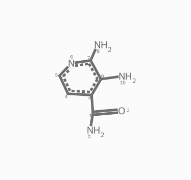 NC(=O)c1ccnc(N)c1N